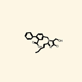 CCC/C=C/c1nc(Cl)c(CO)n1Cc1ccc(-c2ccccc2)c(C(=O)O)c1